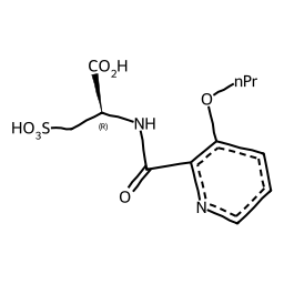 CCCOc1cccnc1C(=O)N[C@@H](CS(=O)(=O)O)C(=O)O